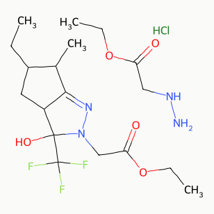 CCOC(=O)CN1N=C2C(C)C(CC)CC2C1(O)C(F)(F)F.CCOC(=O)CNN.Cl